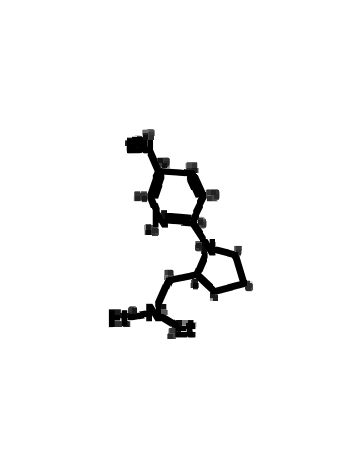 CCN(CC)CC1CCCN1c1ccc(C(C)(C)C)cn1